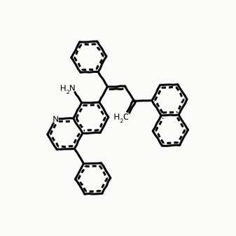 C=C(/C=C(/c1ccccc1)c1ccc2c(-c3ccccc3)ccnc2c1N)c1cccc2ccccc12